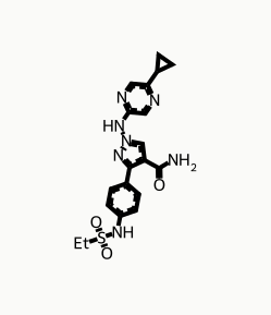 CCS(=O)(=O)Nc1ccc(-c2nn(Nc3cnc(C4CC4)cn3)cc2C(N)=O)cc1